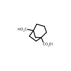 CCOC(=O)C12CCCC(C(=O)O)(CC1)C2